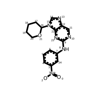 O=[N+]([O-])c1cccc(Nc2ncc3ncn(C4CCCCO4)c3n2)c1